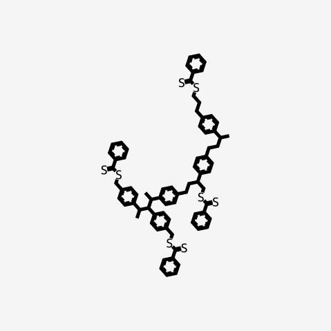 CC(CCc1ccc(C(CCc2ccc(C(C)C(c3ccc(CSC(=S)c4ccccc4)cc3)C(C)c3ccc(CSC(=S)c4ccccc4)cc3)cc2)CSC(=S)c2ccccc2)cc1)c1ccc(CCCSC(=S)c2ccccc2)cc1